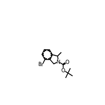 CC1c2cccc(Br)c2CN1C(=O)OC(C)(C)C